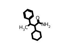 CC(c1ccccc1)C(C(N)=O)C1CCCCC1